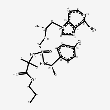 CCCOC(=O)C(C)(C)N[P@](=O)(CO[C@H](C)Cn1cnc2c(N)ncnc21)N[C@H](C)c1ccc(Cl)cc1